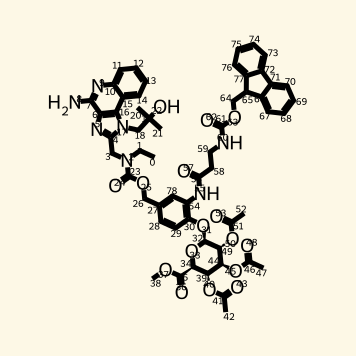 CCN(Cc1nc2c(N)nc3ccccc3c2n1CC(C)(C)O)C(=O)OCc1ccc(O[C@@H]2O[C@H](C(=O)OC)[C@@H](OC(C)=O)[C@H](OC(C)=O)[C@H]2OC(C)=O)c(NC(=O)CCNC(=O)OCC2c3ccccc3-c3ccccc32)c1